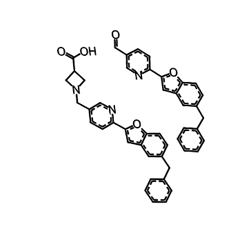 O=C(O)C1CN(Cc2ccc(-c3cc4cc(Cc5ccccc5)ccc4o3)nc2)C1.O=Cc1ccc(-c2cc3cc(Cc4ccccc4)ccc3o2)nc1